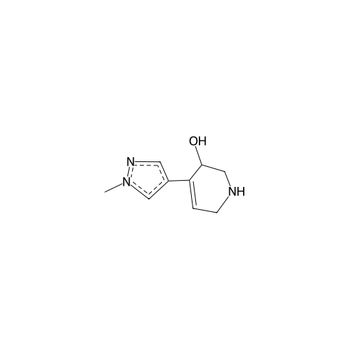 Cn1cc(C2=CCNCC2O)cn1